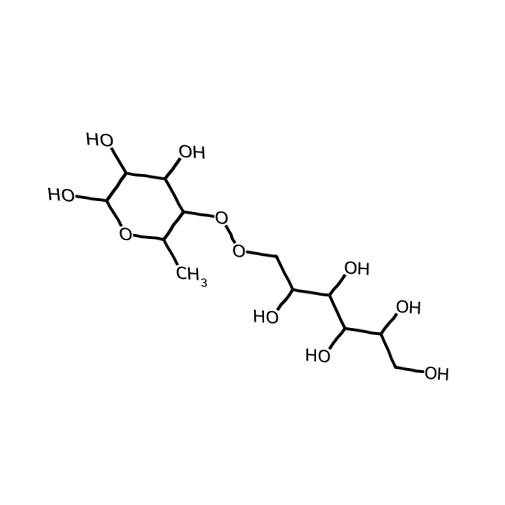 CC1OC(O)C(O)C(O)C1OOCC(O)C(O)C(O)C(O)CO